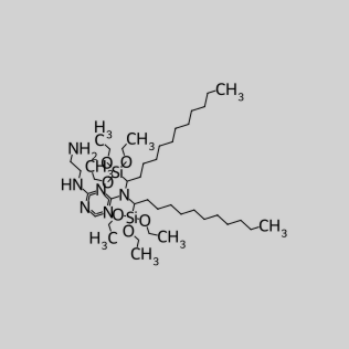 CCCCCCCCCCCC(N(c1ncnc(NCCN)n1)C(CCCCCCCCCCC)[Si](OCC)(OCC)OCC)[Si](OCC)(OCC)OCC